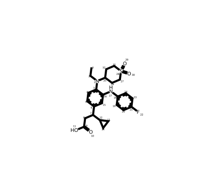 CCN(c1ccc(C(CC(=O)O)C2CC2)cc1Nc1ccc(F)cc1)C1CCS(=O)(=O)CC1